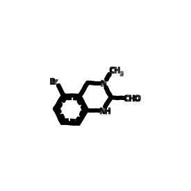 CN1Cc2c(Br)cccc2NC1C=O